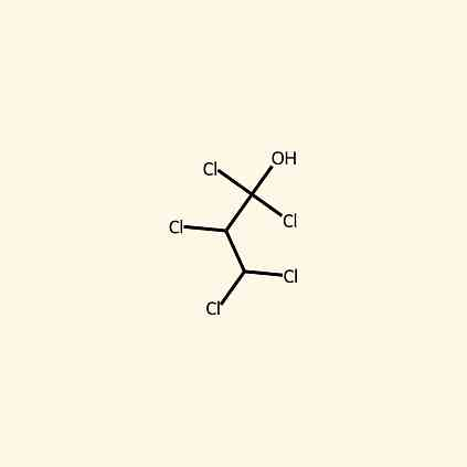 OC(Cl)(Cl)C(Cl)C(Cl)Cl